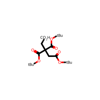 CC(C)(C)OC(=O)CC(CC(=O)O)(C(=O)OC(C)(C)C)C(=O)OC(C)(C)C